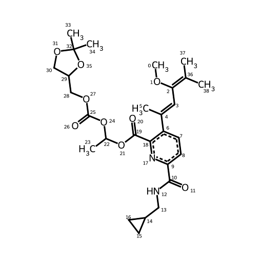 COC(/C=C(\C)c1ccc(C(=O)NCC2CC2)nc1C(=O)OC(C)OC(=O)OCC1COC(C)(C)O1)=C(C)C